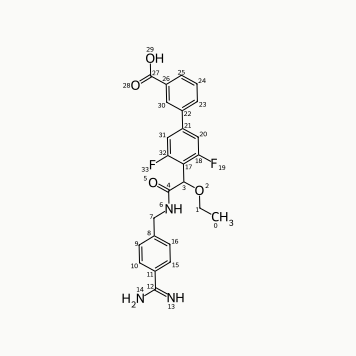 CCOC(C(=O)NCc1ccc(C(=N)N)cc1)c1c(F)cc(-c2cccc(C(=O)O)c2)cc1F